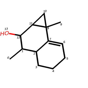 CC1C2CCCC=C2C2(C)CC2C1O